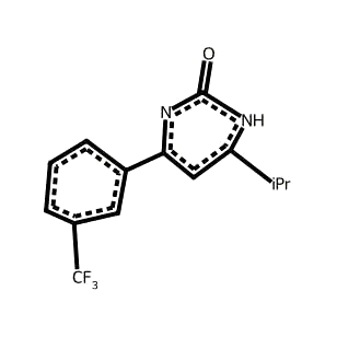 CC(C)c1cc(-c2cccc(C(F)(F)F)c2)nc(=O)[nH]1